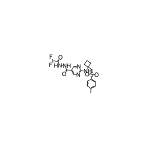 Cc1ccc(S(=O)(=O)CC2(Nc3ncc(C(=O)NNC(=O)C(F)F)cn3)CCC2)cc1